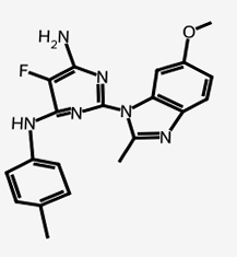 COc1ccc2nc(C)n(-c3nc(N)c(F)c(Nc4ccc(C)cc4)n3)c2c1